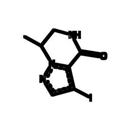 CC1CNC(=O)c2c(I)cnn21